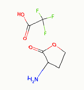 NC1CCOC1=O.O=C(O)C(F)(F)F